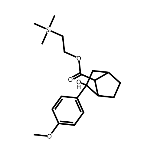 COc1ccc(C2(O)CC3CCC2C3C(=O)OCC[Si](C)(C)C)cc1